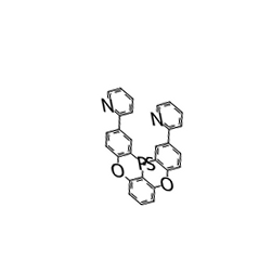 S=P12c3cc(-c4ccccn4)ccc3Oc3cccc(c31)Oc1ccc(-c3ccccn3)cc12